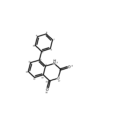 O=c1[nH]c2c(-c3ccccc3)cccc2c(=O)o1